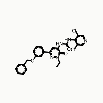 CCn1nc(-c2cccc(OCc3ccccc3)c2)cc(NC(=O)Nc2c(Cl)cncc2Cl)c1=O